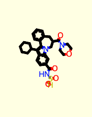 O=C(N[SH](=O)=O)c1ccc2c(C3CCCCC3)c3n(c2c1)CC(C(=O)N1CCOCC1)Cc1ccccc1-3